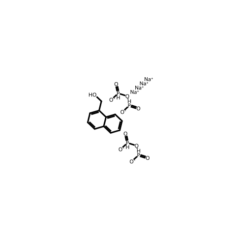 O=[PH]([O-])O[PH](=O)[O-].O=[PH]([O-])O[PH](=O)[O-].OCc1cccc2ccccc12.[Na+].[Na+].[Na+].[Na+]